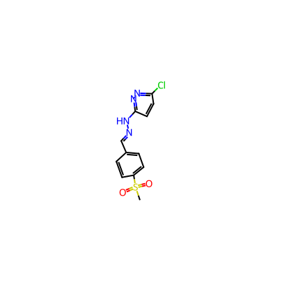 CS(=O)(=O)c1ccc(/C=N/Nc2ccc(Cl)nn2)cc1